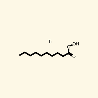 CCCCCCCCCC(=O)OO.[Ti]